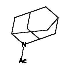 CC(=O)N1C2CC3CC(C2)CC1C3